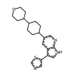 c1ncc(-c2c[nH]c3ncc(C4CCC(N5CCOCC5)CC4)cc23)s1